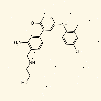 Nc1nc(-c2cc(Nc3ccc(Cl)cc3CF)ccc2O)ccc1CNCCO